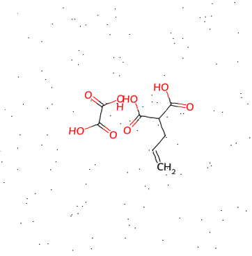 C=CCC(C(=O)O)C(=O)O.O=C(O)C(=O)O